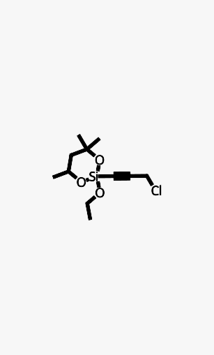 CCO[Si]1(C#CCCl)OC(C)CC(C)(C)O1